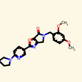 COc1ccc(CN2Cc3nc(-c4ccc(N5CC[C@H](F)C5)nc4)oc3C2=O)c(OC)c1